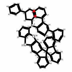 C1=CC(N(c2ccc(-c3ccccc3)cc2-c2ccccc2)c2cccc3c2Oc2cc4c(cc2O3)-c2ccccc2C42c3ccccc3-c3ccccc32)CC(c2ccccc2)C1